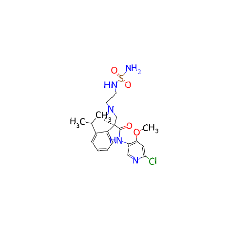 COc1cc(Cl)ncc1NC(=O)C1(c2ccccc2C(C)C)CN(CCNS(N)(=O)=O)C1